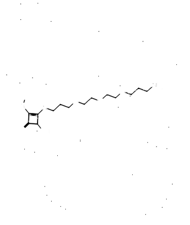 CCCNC1=C(NCCCOCCOCCOCCCN)C(O)C1=O